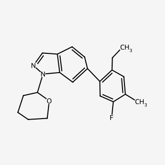 CCc1cc(C)c(F)cc1-c1ccc2cnn(C3CCCCO3)c2c1